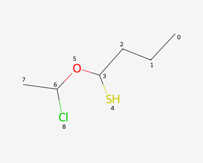 CCCC(S)OC(C)Cl